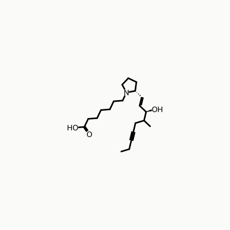 CCC#CCC(C)[C@H](O)/C=C/[C@H]1CCCN1CCCCCCC(=O)O